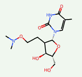 Cc1cn([C@@H]2O[C@H](CO)[C@@H](O)C2CCON(C)C)c(=O)[nH]c1=O